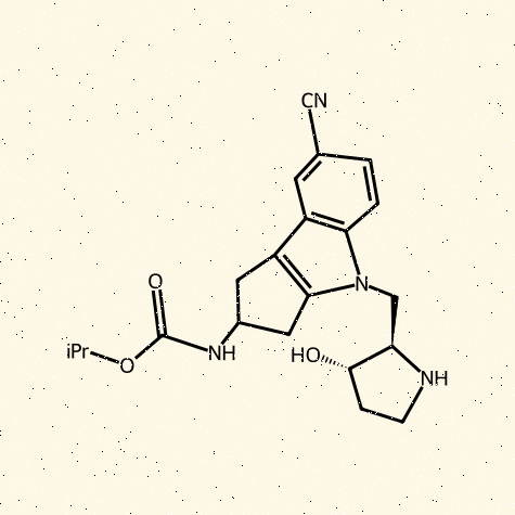 CC(C)OC(=O)NC1Cc2c(n(C[C@H]3NCC[C@@H]3O)c3ccc(C#N)cc23)C1